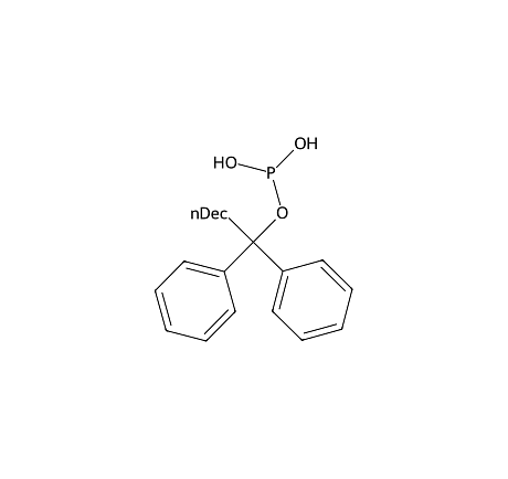 CCCCCCCCCCC(OP(O)O)(c1ccccc1)c1ccccc1